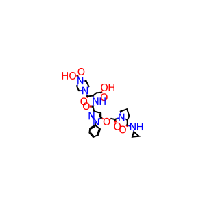 O=C(O)CC(NC(=O)c1cc(OCC(=O)N2CCCC2C(=O)NC2CC2)n(-c2ccccc2)n1)C(=O)N1CCN(C(=O)O)CC1